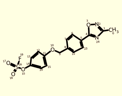 Cc1noc(-c2ccc(COc3ccc(OS(=O)(=O)F)cc3)cc2)n1